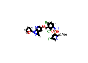 COc1ncc(F)cc1S(=O)(=O)Nc1ccc(F)c(COc2cnc3c(c2)c(C)nn3C2CCCCO2)c1Cl